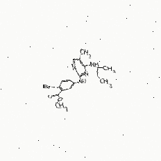 CCC(C)Nc1nc(Nc2ccc(Br)c(C(=O)OC)c2)ncc1C